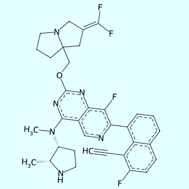 C#Cc1c(F)ccc2cccc(-c3ncc4c(N(C)[C@@H]5CCN[C@@H]5C)nc(OCC56CCCN5CC(=C(F)F)C6)nc4c3F)c12